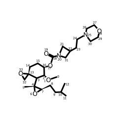 CO[C@H]1C([C@@]2(C)O[C@@H]2CCC(C)C)[C@]2(CC[C@H]1OC(=O)N1CC(CCN3CCOCC3)C1)CO2